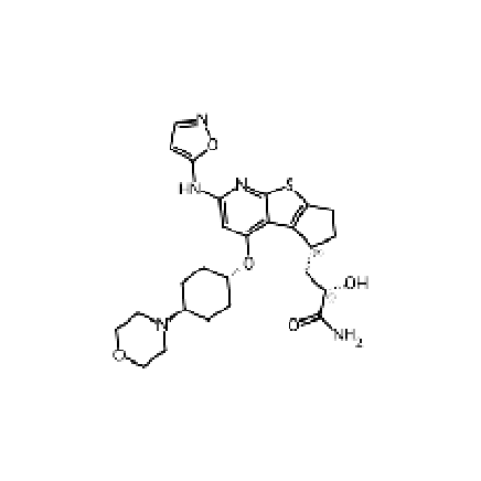 NC(=O)[C@@H](O)C[C@H]1CCc2sc3nc(Nc4ccno4)cc(O[C@H]4CC[C@H](N5CCOCC5)CC4)c3c21